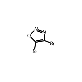 Brc1nnoc1Br